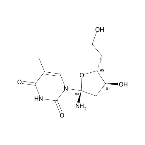 Cc1cn([C@@]2(N)C[C@H](O)[C@@H](CCO)O2)c(=O)[nH]c1=O